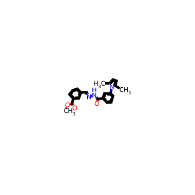 COC(=O)c1cccc(/C=N/NC(=O)c2cccc(-n3c(C)ccc3C)c2)c1